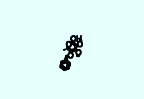 CO[C@@H]1[C@@H](OCc2ccccc2)[C@H](C)O[C@@H](O)[C@@H]1OC